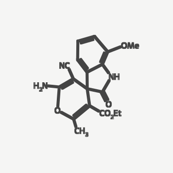 CCOC(=O)C1=C(C)OC(N)=C(C#N)C12C(=O)Nc1c(OC)cccc12